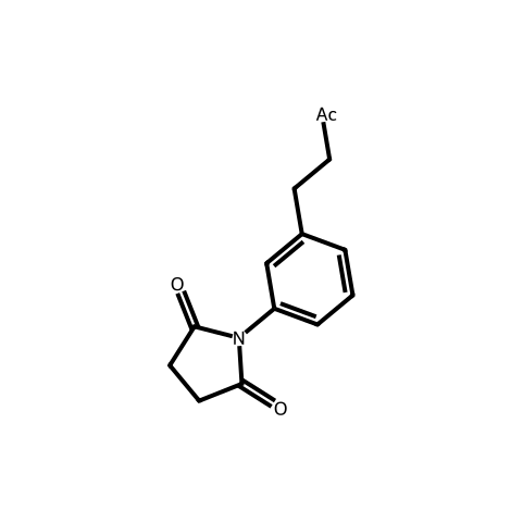 CC(=O)CCc1cccc(N2C(=O)CCC2=O)c1